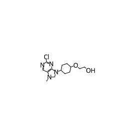 CN1CN(C2CCC(OCCO)CC2)c2nc(Cl)ncc21